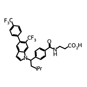 CC(C)CC(c1ccc(C(=O)NCCC(=O)O)cc1)n1ccc2cc(-c3ccc(C(F)(F)F)cc3)c(C(F)(F)F)cc21